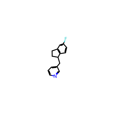 Fc1ccc2c(c1)CCC2Cc1cccnc1